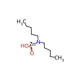 CCCCC[N]([Zn])CCCCC.O=CO